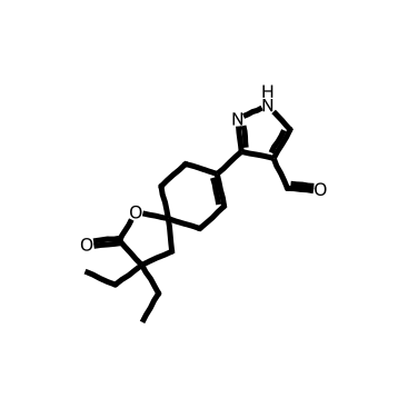 CCC1(CC)CC2(CC=C(c3n[nH]cc3C=O)CC2)OC1=O